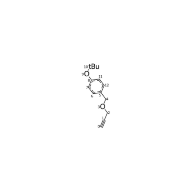 C#CCOCc1ccc(OC(C)(C)C)cc1